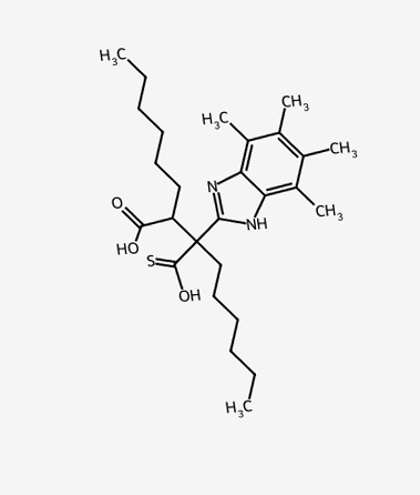 CCCCCCC(C(=O)O)C(CCCCCC)(C(O)=S)c1nc2c(C)c(C)c(C)c(C)c2[nH]1